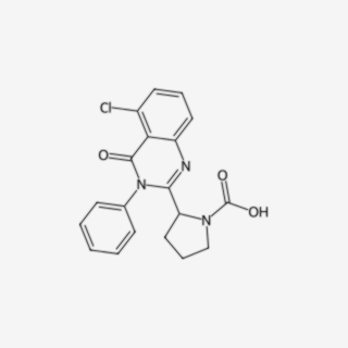 O=C(O)N1CCCC1c1nc2cccc(Cl)c2c(=O)n1-c1ccccc1